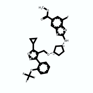 COC(=O)c1cc(F)c2nc(N[C@@H]3CC[C@H](OCc4c(-c5ccccc5OC(F)(F)F)noc4C4CC4)C3)sc2c1